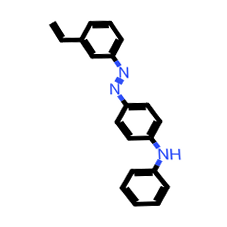 C=Cc1cccc(N=Nc2ccc(Nc3ccccc3)cc2)c1